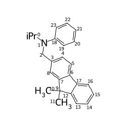 CC(C)N(Cc1ccc2c(c1)C(C)(C)c1ccccc1-2)c1ccccc1